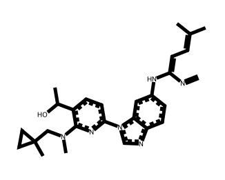 C=N/C(=C\C=C(C)C)Nc1ccc2ncn(-c3ccc(C(C)O)c(N(C)CC4(C)CC4)n3)c2c1